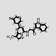 Cc1cnn2c(NCC(=O)c3c[nH]c4ccccc34)cc(-c3cncc(F)c3)nc12